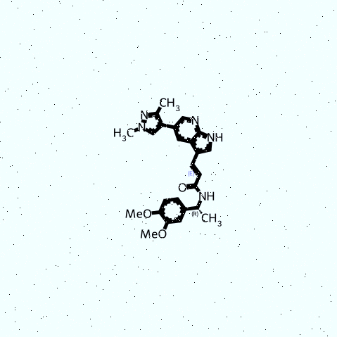 COc1ccc([C@@H](C)NC(=O)/C=C/c2c[nH]c3ncc(-c4cn(C)nc4C)cc23)cc1OC